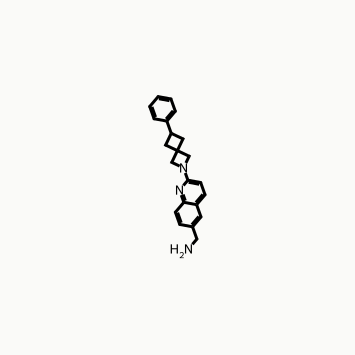 NCc1ccc2nc(N3CC4(CC(c5ccccc5)C4)C3)ccc2c1